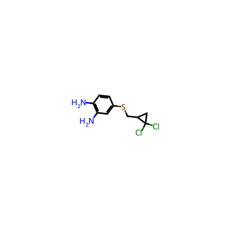 Nc1ccc(SCC2CC2(Cl)Cl)cc1N